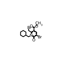 COC(=O)c1cc(Br)c(=O)n(CC2CCCCC2)c1CBr